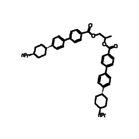 CCC[C@H]1CC[C@H](c2ccc(-c3ccc(C(=O)OCC(C)OC(=O)c4ccc(-c5ccc([C@H]6CC[C@H](CCC)CC6)cc5)cc4)cc3)cc2)CC1